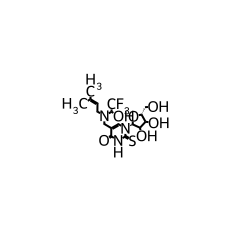 CC(C)=CCN(Cc1cn([C@@H]2O[C@H](CO)C(O)C2O)c(=S)[nH]c1=O)C(O)C(F)(F)F